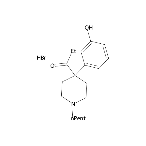 Br.CCCCCN1CCC(C(=O)CC)(c2cccc(O)c2)CC1